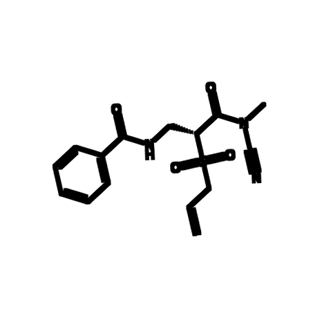 C=CCS(=O)(=O)[C@H](CNC(=O)c1ccccc1)C(=O)N(C)C#N